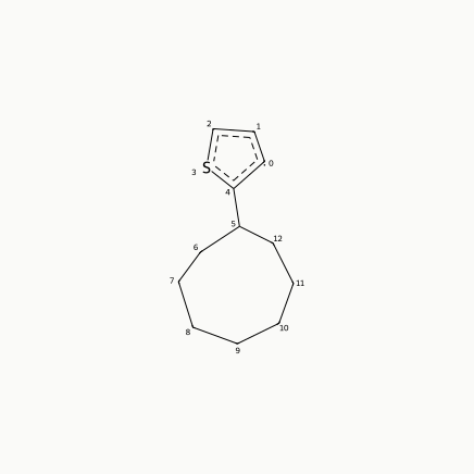 [c]1ccsc1C1CCCCCCC1